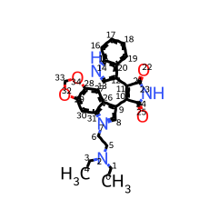 CCN(CC)CCn1cc(C2=C(c3c[nH]c4ccccc34)C(=O)NC2=O)c2cc3c(cc21)OCO3